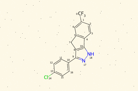 FC(F)(F)c1ccc2c(c1)Cc1c(-c3ccc(Cl)cc3)n[nH]c1-2